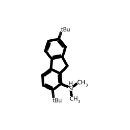 C[SiH](C)c1c(C(C)(C)C)ccc2c1Cc1cc(C(C)(C)C)ccc1-2